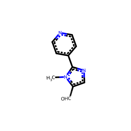 Cn1c(C=O)cnc1-c1ccncc1